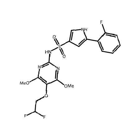 COc1nc(NS(=O)(=O)c2c[nH]c(-c3ccccc3F)c2)nc(OC)c1OCC(F)F